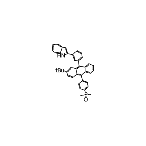 CC(C)(C)c1ccc2c(-c3ccc(P(C)(C)=O)cc3)c3ccccc3c(-c3cccc(-c4cc5ccccc5[nH]4)c3)c2c1